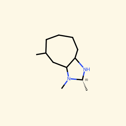 CC1CCCCC2N[C@H](C)N(C)C2C1